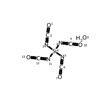 O.O=C=N[Si](N=C=O)(N=C=O)N=C=O